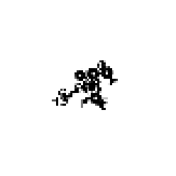 COc1ccc(C(C)C)cc1-c1ccc(N2CCCC2)cc1CN(Cc1cc(CF)cc(C(F)(F)F)c1)c1ncc(OCCCC(=O)O)cn1